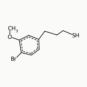 COc1cc(CCCS)ccc1Br